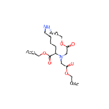 CC(=O)OCOC(=O)CN(CC(=O)OCOC(C)=O)C(CCCCN)C(=O)OCOC(C)=O